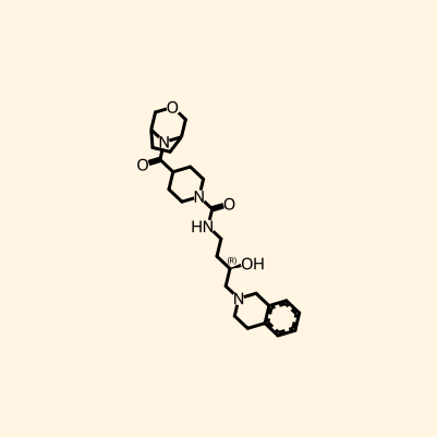 O=C(NCC[C@@H](O)CN1CCc2ccccc2C1)N1CCC(C(=O)N2C3CCC2COC3)CC1